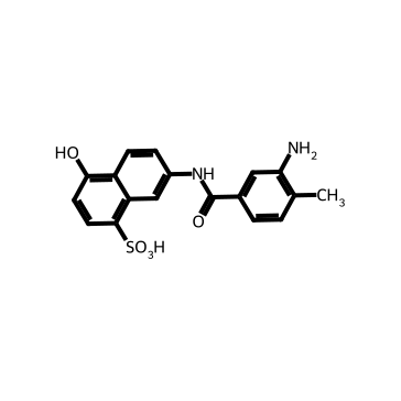 Cc1ccc(C(=O)Nc2ccc3c(O)ccc(S(=O)(=O)O)c3c2)cc1N